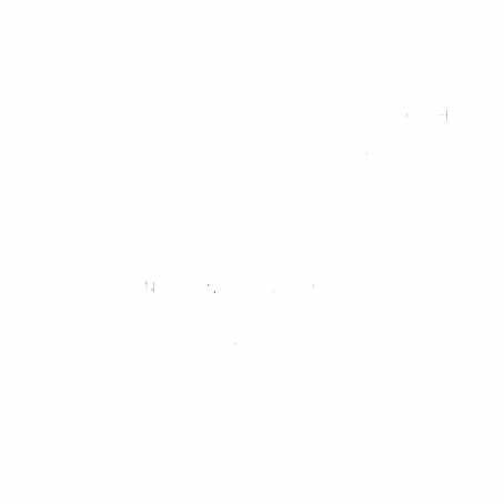 Cc1c(C)c2c(c(C)c1OCC(=O)O)CCC(C)(C(=O)Nc1cc(C)c3ccccc3n1)O2